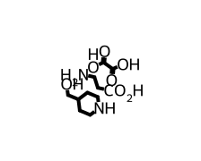 NCCC(=O)O.O=C(O)C(=O)O.OCC1CCNCC1